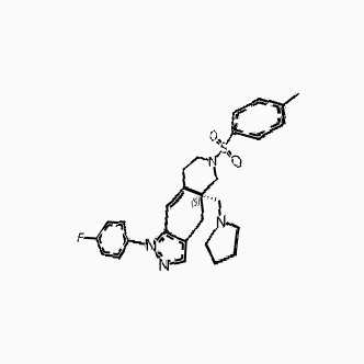 Cc1ccc(S(=O)(=O)N2CCC3=Cc4c(cnn4-c4ccc(F)cc4)C[C@]3(CN3CCCC3)C2)cc1